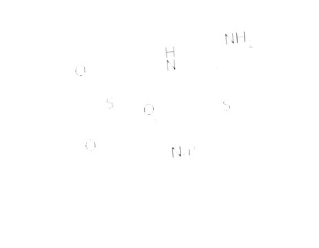 NC(=S)NOS(=O)[O-].[Na+]